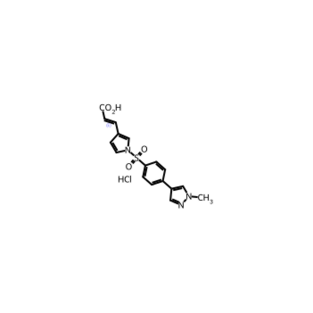 Cl.Cn1cc(-c2ccc(S(=O)(=O)n3ccc(/C=C/C(=O)O)c3)cc2)cn1